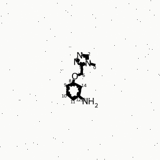 Cn1cnnc1COc1cccc(N)c1